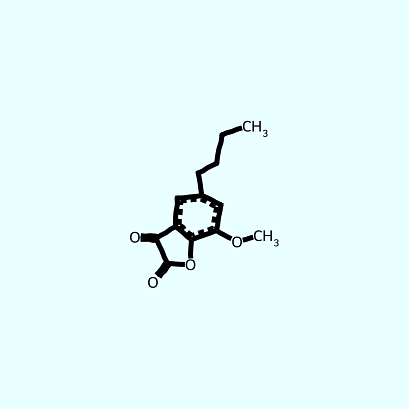 CCCCc1cc(OC)c2c(c1)C(=O)C(=O)O2